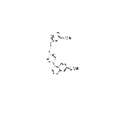 CCN(CCCC1OCC(c2cccc3cc(OC)ccc23)CO1)CC(=O)NC